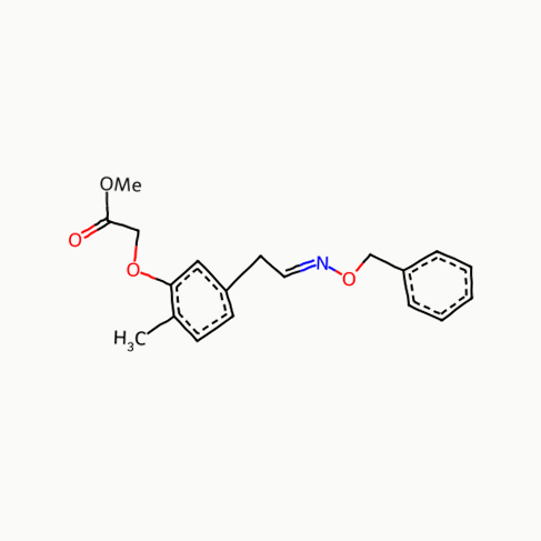 COC(=O)COc1cc(CC=NOCc2ccccc2)ccc1C